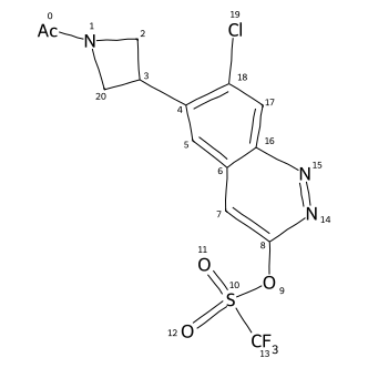 CC(=O)N1CC(c2cc3cc(OS(=O)(=O)C(F)(F)F)nnc3cc2Cl)C1